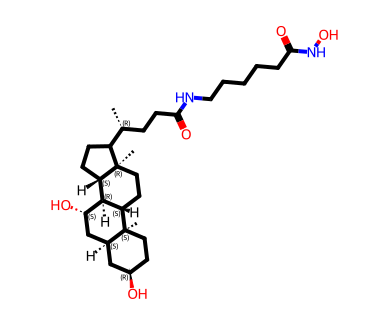 C[C@H](CCC(=O)NCCCCCC(=O)NO)C1CC[C@H]2[C@@H]3[C@@H](O)C[C@@H]4C[C@H](O)CC[C@]4(C)[C@H]3CC[C@]12C